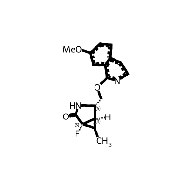 COc1ccc2ccnc(OC[C@H]3NC(=O)[C@]4(F)C(C)[C@H]34)c2c1